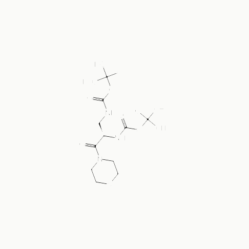 CC(C)(C)OC(=O)NC[C@@H](NC(=O)OC(C)(C)C)C(=O)N1CCSCC1